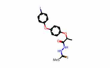 CSC(=S)NNC(=O)C(C)Oc1ccc(Oc2ccc(I)cc2)cc1